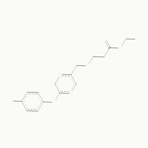 CCOC(=O)CCNCc1cnc(Oc2ccc(C)cc2)cn1